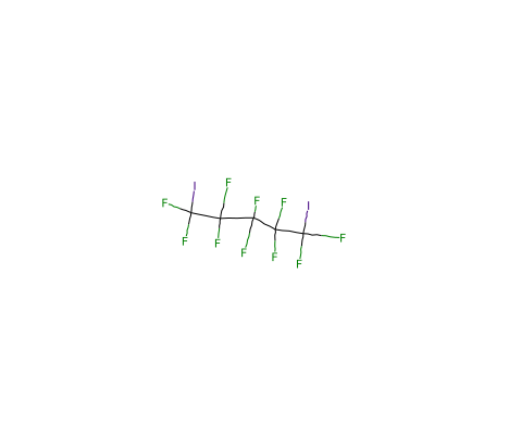 FC(F)(I)C(F)(F)C(F)(F)C(F)(F)C(F)(F)I